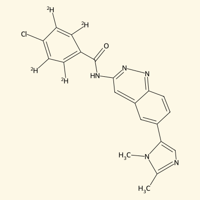 [2H]c1c([2H])c(C(=O)Nc2cc3cc(-c4cnc(C)n4C)ccc3nn2)c([2H])c([2H])c1Cl